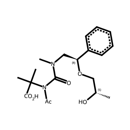 CC(=O)N(C(=O)N(C)C[C@H](OC[C@H](C)O)c1ccccc1)C(C)(C)C(=O)O